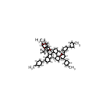 Cc1ccc(-c2ccc3c(c2)c2cc(-c4ccc(C)cc4)ccc2n3-c2ccc(-c3cc(C(F)(F)F)cc(C(F)(F)F)c3)cc2-c2c(C#N)cccc2-n2c3ccc(-c4ccc(C)cc4)cc3c3cc(-c4ccc(C)cc4)ccc32)cc1